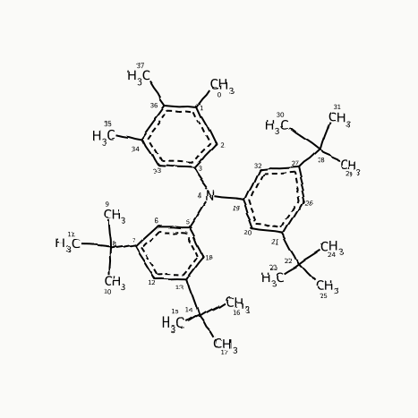 Cc1cc(N(c2cc(C(C)(C)C)cc(C(C)(C)C)c2)c2cc(C(C)(C)C)cc(C(C)(C)C)c2)cc(C)c1C